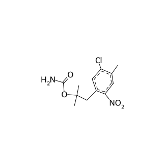 Cc1cc([N+](=O)[O-])c(CC(C)(C)OC(N)=O)cc1Cl